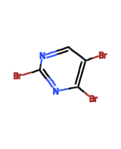 Brc1ncc(Br)c(Br)n1